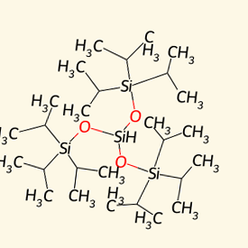 CC(C)[Si](O[SiH](O[Si](C(C)C)(C(C)C)C(C)C)O[Si](C(C)C)(C(C)C)C(C)C)(C(C)C)C(C)C